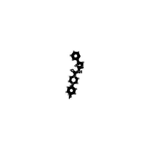 O=C(Nc1nc(-c2ccccc2)cs1)N1CCN(c2ccc(F)cc2)CC1